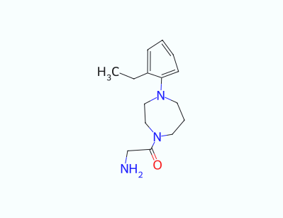 CCc1ccccc1N1CCCN(C(=O)CN)CC1